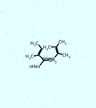 C/C=C(\C)C(C)CCCCCC.CCCCCCCC(C)=C(C)C